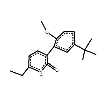 CCc1ccc(-c2cc(C(C)(C)C)ccc2OC)c(=O)[nH]1